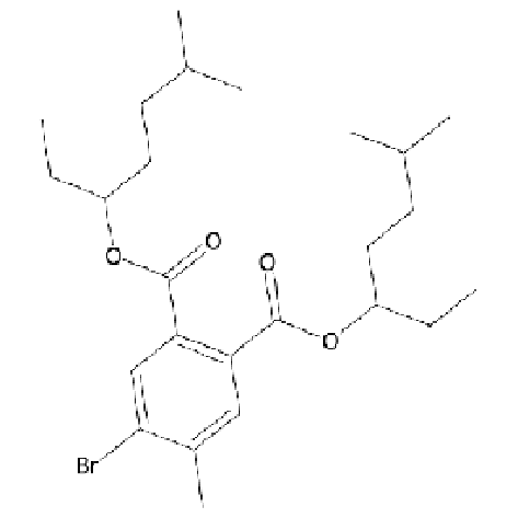 CCC(CCC(C)C)OC(=O)c1cc(C)c(Br)cc1C(=O)OC(CC)CCC(C)C